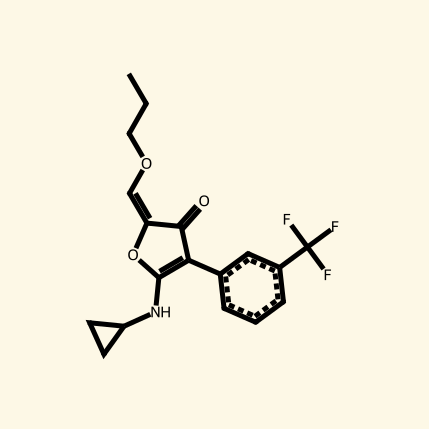 CCCO/C=C1/OC(NC2CC2)=C(c2cccc(C(F)(F)F)c2)C1=O